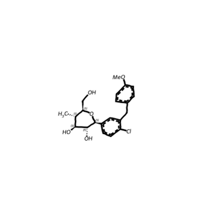 COc1ccc(Cc2cc([C@@H]3O[C@H](CO)[C@@H](C)[C@H](O)[C@H]3O)ccc2Cl)cc1